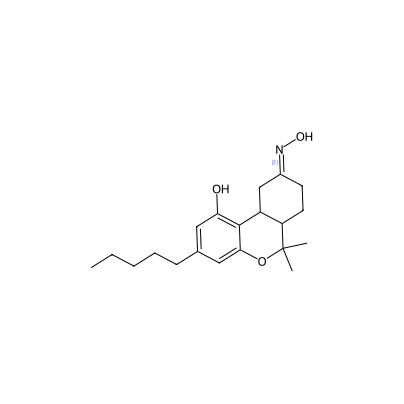 CCCCCc1cc(O)c2c(c1)OC(C)(C)C1CC/C(=N\O)CC21